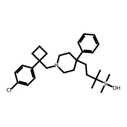 CC(C)(CCC1(c2ccccc2)CCN(CC2(c3ccc(Cl)cc3)CCC2)CC1)[Si](C)(C)O